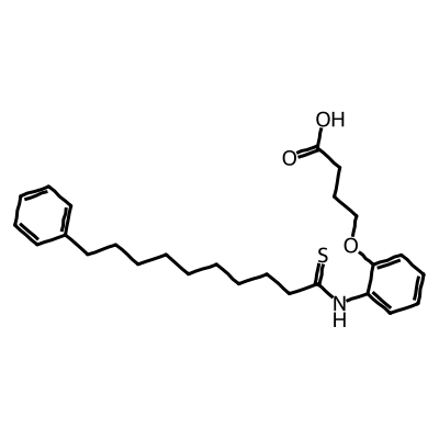 O=C(O)CCCOc1ccccc1NC(=S)CCCCCCCCCc1ccccc1